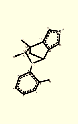 Cc1ccccc1N1C2CC(C)(c3cscc32)[C@@H]1C